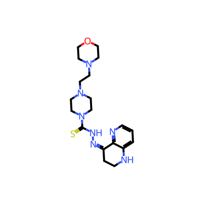 S=C(N/N=C1/CCNc2cccnc21)N1CCN(CCN2CCOCC2)CC1